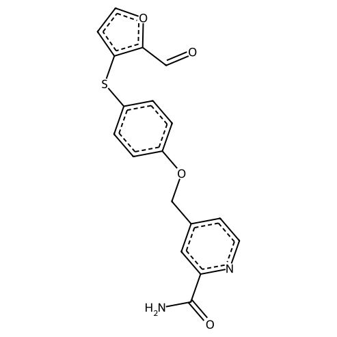 NC(=O)c1cc(COc2ccc(Sc3ccoc3C=O)cc2)ccn1